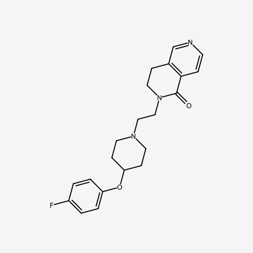 O=C1c2ccncc2CCN1CCN1CCC(Oc2ccc(F)cc2)CC1